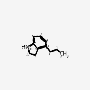 CCCc1cccc2c1CCN2